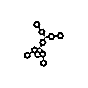 c1ccc(-c2ccc(N(c3ccc(-c4ccccc4)cc3)c3ccc(-n4c5ccc(-c6ccccc6)c6ccc7c(-c8ccccc8)ccc4c7c65)cc3)cc2)cc1